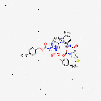 C[C@H](N/C(=N\C(=O)OCc1ccc([N+](=O)[O-])cc1)NC(=O)OCc1ccc([N+](=O)[O-])cc1)C(=O)NC1CN(C(=O)[C@@H]2C[C@H](S)CN2C(=O)OCc2ccc([N+](=O)[O-])cc2)C1